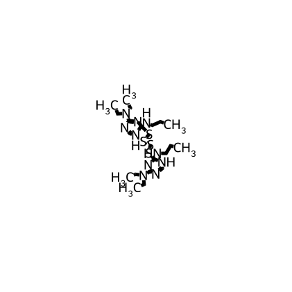 CCCNC1(SSSSC2(NCCC)N=C(N(CC)CC)N=CN2)N=C(N(CC)CC)N=CN1